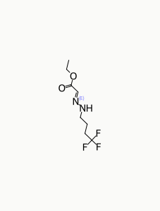 CCOC(=O)/C=N/NCCCC(F)(F)F